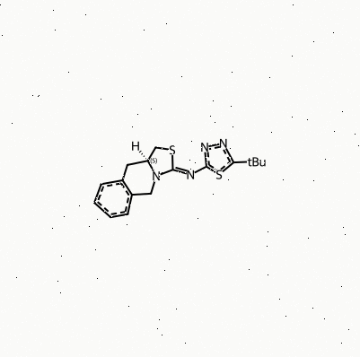 CC(C)(C)c1nnc(N=C2SC[C@@H]3Cc4ccccc4CN23)s1